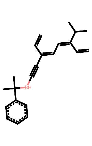 C=C/C(=C\C=C(\C#CBC(C)(C)c1ccccc1)C=C)C(C)C